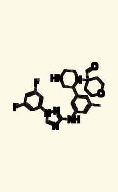 Cc1cc(Nc2ncn(-c3cc(F)cc(F)c3)n2)cc(C2CNCCN2C2(C=O)CCOCC2)c1